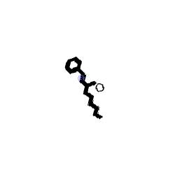 CCCCCCC(C=O)/C=C/c1ccccc1